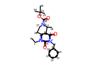 CCn1c2c(c(=O)n(Cc3ccccc3)c1=O)C(C)N(C(=O)OC(C)(C)C)CC2